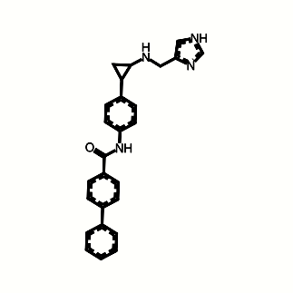 O=C(Nc1ccc(C2CC2NCc2c[nH]cn2)cc1)c1ccc(-c2ccccc2)cc1